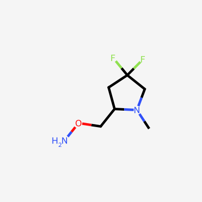 CN1CC(F)(F)CC1CON